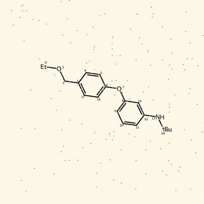 CCOCc1ccc(Oc2cccc(NC(C)(C)C)c2)cc1